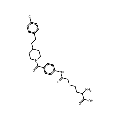 NC(CCSCC(=O)Nc1ccc(C(=O)N2CCN(CCc3ccc(Cl)cc3)CC2)cc1)C(=O)O